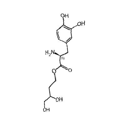 N[C@@H](Cc1ccc(O)c(O)c1)C(=O)OCCC(O)CO